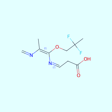 C=N/C(C)=C(\N=C/CC(=O)O)OCC(C)(F)F